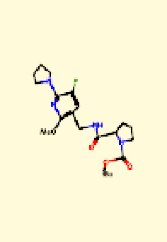 COc1nc(N2CCCC2)c(F)cc1CNC(=O)C1CCCN1C(=O)OC(C)(C)C